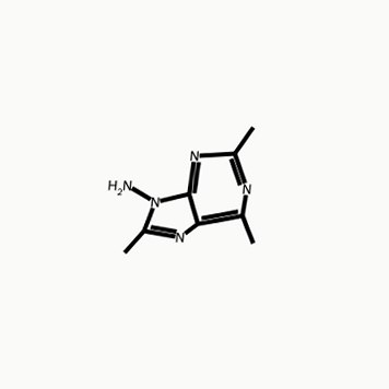 Cc1nc(C)c2nc(C)n(N)c2n1